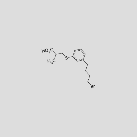 CC(CSc1cccc(CCCCBr)c1)C(=O)O